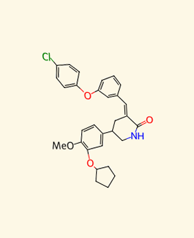 COc1ccc(C2CNC(=O)C(=Cc3cccc(Oc4ccc(Cl)cc4)c3)C2)cc1OC1CCCC1